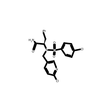 CC(C)C[C@H](C(N)=O)N(Cc1ccc(Cl)nc1)S(=O)(=O)c1ccc(Cl)cc1